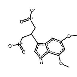 COc1cc(OC)c2[nH]cc(C(C[N+](=O)[O-])C[N+](=O)[O-])c2c1